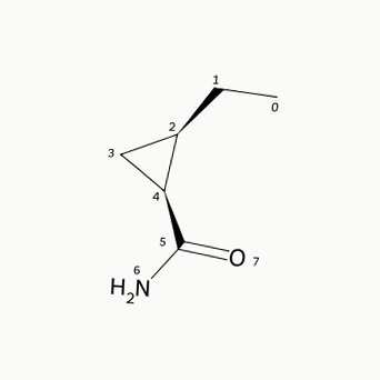 CC[C@@H]1C[C@@H]1C(N)=O